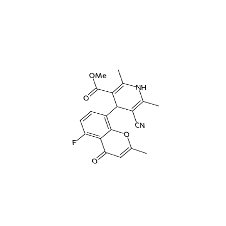 COC(=O)C1=C(C)NC(C)=C(C#N)C1c1ccc(F)c2c(=O)cc(C)oc12